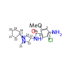 COc1cc(N)c(Cl)cc1C(=O)NC1CN(C)N(C2CCCCC2)C1